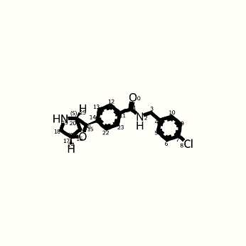 O=C(NCc1ccc(Cl)cc1)c1ccc([C@H]2O[C@@H]3CN[C@H]2C3)cc1